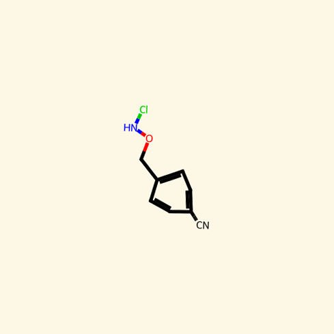 N#Cc1ccc(CONCl)cc1